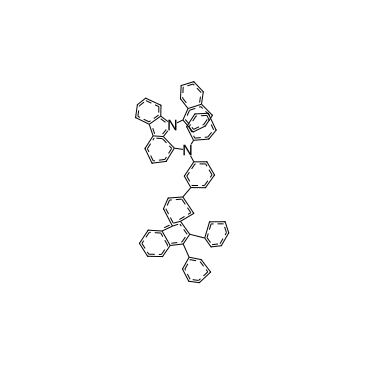 c1ccc(-c2c(-c3ccccc3)c3cc(-c4cccc(N(c5ccccc5)c5cccc6c7ccccc7n(-c7cccc8ccccc78)c56)c4)ccc3c3ccccc23)cc1